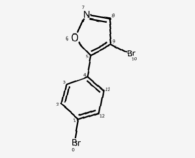 Brc1ccc(-c2oncc2Br)cc1